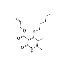 C=CCOC(=O)c1c(SCCCCC)c(C)c(C)[nH]c1=O